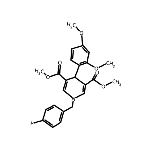 COC(=O)C1=CN(Cc2ccc(F)cc2)C=C(C(=O)OC)C1c1ccc(OC)cc1OC